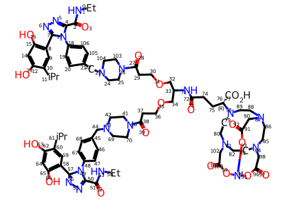 CCNC(=O)c1nnc(-c2cc(C(C)C)c(O)cc2O)n1-c1ccc(CN2CCN(C(=O)CCOCC(COCCC(=O)N3CCN(Cc4ccc(-n5c(C(=O)NCC)nnc5-c5cc(C(C)C)c(O)cc5O)cc4)CC3)NC(=O)CC[C@H](C(=O)O)N3CCN4CCN5CCN(CC3)CC(=O)ON(OC(=O)C5)OC(=O)C4)CC2)cc1